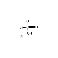 O=S(=O)(O)Cl.[P]